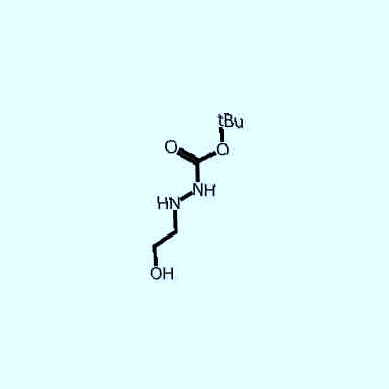 CC(C)(C)OC(=O)NNCCO